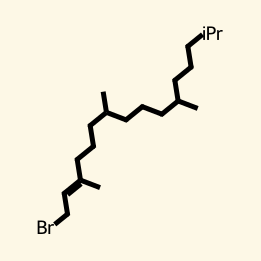 C/C(=C\CBr)CCCC(C)CCCC(C)CCCC(C)C